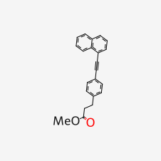 COC(=O)CCc1ccc(C#Cc2cccc3ccccc23)cc1